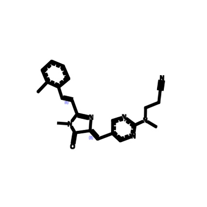 Cc1ccccc1/C=C/C1=NC(=C\c2cnc(N(C)CCC#N)nc2)/C(=O)N1C